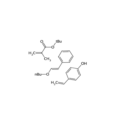 C=C(C)C(=O)OC(C)(C)C.C=Cc1ccc(O)cc1.CCCCOC=Cc1ccccc1